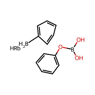 Bc1ccccc1.OB(O)Oc1ccccc1.[RbH]